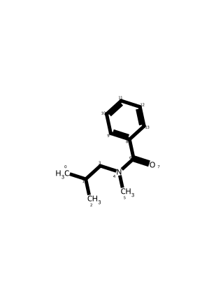 CC(C)CN(C)C(=O)c1ccccc1